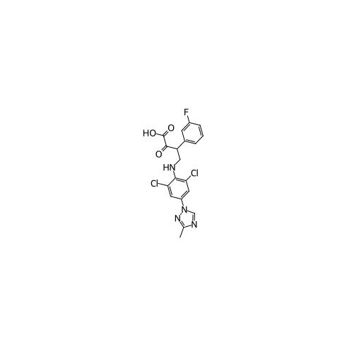 Cc1ncn(-c2cc(Cl)c(NCC(C(=O)C(=O)O)c3cccc(F)c3)c(Cl)c2)n1